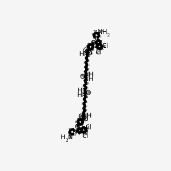 N[C@@H]1CCCN([C@H]2Cc3c(Cl)cc(Cl)cc3[C@@H]2Oc2ccc(S(=O)(=O)NCCCCCCCCNC(=O)NCCCCNC(=O)NCCCCCCCCNS(=O)(=O)c3ccc(O[C@H]4c5cc(Cl)cc(Cl)c5C[C@@H]4N4CCC[C@@H](N)C4)cc3)cc2)C1